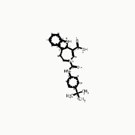 CC(C)(C)c1ccc(NC(=O)N2C=C(C(=O)O)c3[nH]c4ccccc4c3CC2)cc1